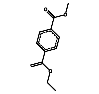 C=C(OCC)c1ccc(C(=O)OC)cc1